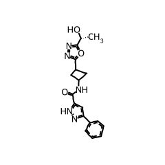 C[C@@H](O)c1nnc(C2CC(NC(=O)c3cc(-c4ccccc4)n[nH]3)C2)o1